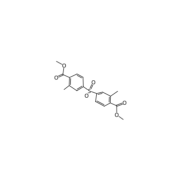 COC(=O)c1ccc(S(=O)(=O)c2ccc(C(=O)OC)c(C)c2)cc1C